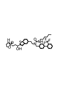 CCCCCCNC(=O)N(CCc1ccc2sc(C(O)CCP3(=O)NCCO3)cc2c1)Cc1ccc(-c2ccccc2C(F)(F)F)cc1